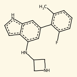 Cc1cccc(F)c1-c1cc(NC2CNC2)c2cc[nH]c2c1